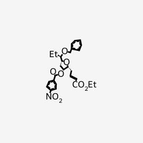 CCOC(=O)/C=C/C[C@H]1O[C@@H]([C@@H](CC)OCc2ccccc2)C[C@@H]1OC(=O)c1ccc([N+](=O)[O-])cc1